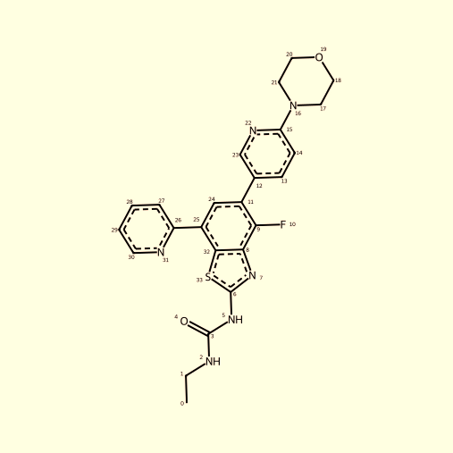 CCNC(=O)Nc1nc2c(F)c(-c3ccc(N4CCOCC4)nc3)cc(-c3ccccn3)c2s1